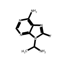 CC(N)n1c(F)nc2c(N)ncnc21